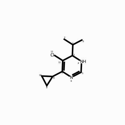 CC(C)C1NC=NC(C2CC2)=C1Cl